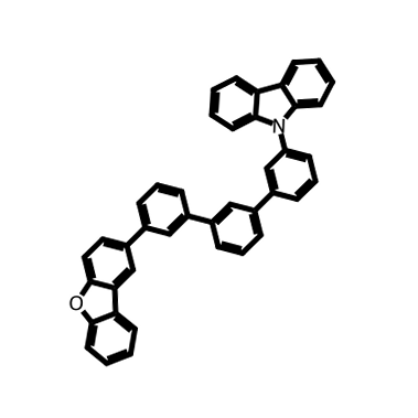 c1cc(-c2cccc(-c3ccc4oc5ccccc5c4c3)c2)cc(-c2cccc(-n3c4ccccc4c4ccccc43)c2)c1